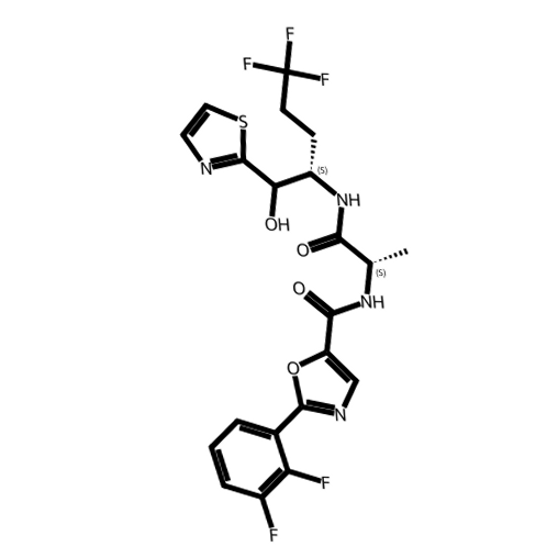 C[C@H](NC(=O)c1cnc(-c2cccc(F)c2F)o1)C(=O)N[C@@H](CCC(F)(F)F)C(O)c1nccs1